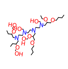 CCCCOCC(CN(CO)CCN(CCN(CO)CCN(CC(CC)OCO)CC(CC)OCO)CC(COCCCC)OCO)OCC